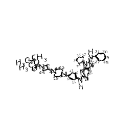 CC(C)(C)OC(=O)N1CC(N2CCN(c3ccc(Nc4ncc5nc(Nc6ccccc6)n(C6CCCC6)c5n4)cc3)CC2)C1